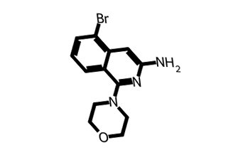 Nc1cc2c(Br)cccc2c(N2CCOCC2)n1